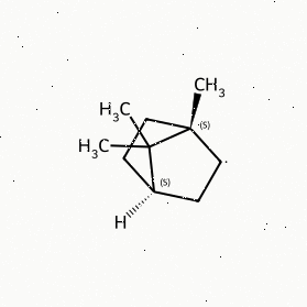 CC1(C)[C@H]2C[CH][C@@]1(C)CC2